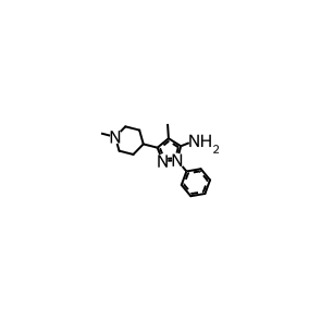 Cc1c(C2CCN(C)CC2)nn(-c2ccccc2)c1N